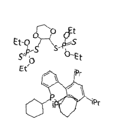 CC(C)c1cc(C(C)C)c(-c2ccccc2P(C2CCCCC2)C2CCCCC2)c(C(C)C)c1.CCOP(=S)(OCC)SC1OCCOC1SP(=S)(OCC)OCC